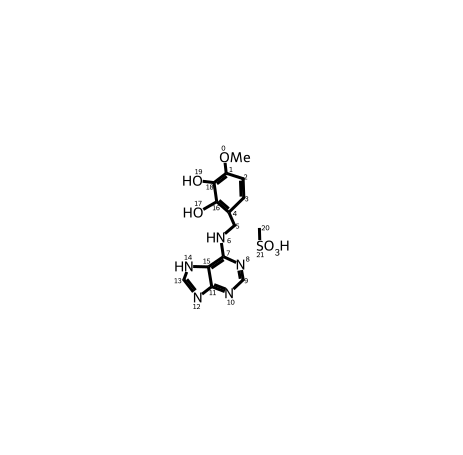 COc1ccc(CNc2ncnc3nc[nH]c23)c(O)c1O.CS(=O)(=O)O